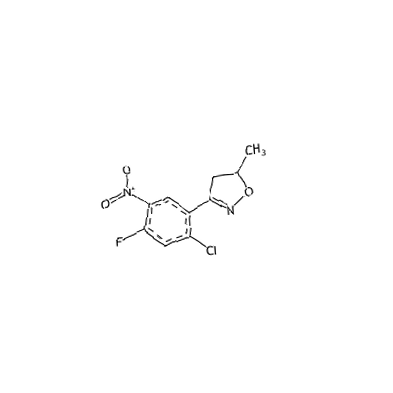 CC1CC(c2cc([N+](=O)[O-])c(F)cc2Cl)=NO1